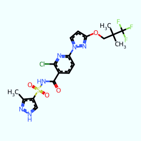 Cc1n[nH]cc1S(=O)(=O)NC(=O)c1ccc(-n2ccc(OCC(C)(C)C(F)(F)F)n2)nc1Cl